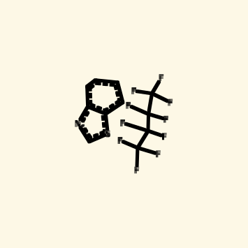 FC(F)(F)C(F)(F)C(F)(F)C(F)(F)F.c1ccc2scnc2c1